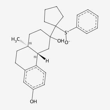 C[C@@]12CCc3cc(O)ccc3[C@H]1CC(O)(C1([S+]([O-])c3ccccc3)CCCC1)CC2